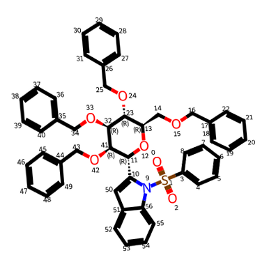 O=S(=O)(c1ccccc1)n1c([C@H]2O[C@H](COCc3ccccc3)[C@@H](OCc3ccccc3)[C@H](OCc3ccccc3)[C@@H]2OCc2ccccc2)cc2ccccc21